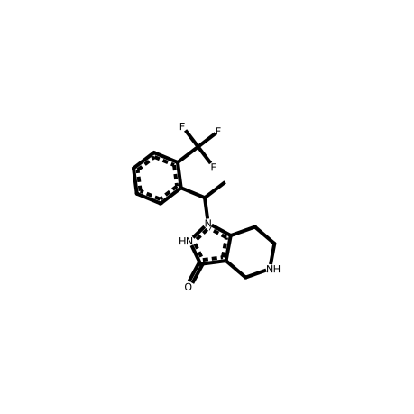 CC(c1ccccc1C(F)(F)F)n1[nH]c(=O)c2c1CCNC2